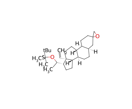 C=C[C@]12CC[C@H]3[C@@H](CC[C@@H]4CC5(CC[C@@H]43)CO5)[C@@H]1CC[C@@H]2C(C)O[Si](C)(C)C(C)(C)C